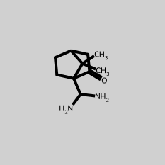 CC1(C)C2CCC1(C(N)N)C(=O)C2